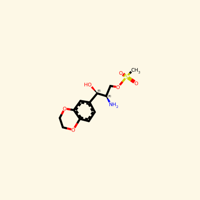 CS(=O)(=O)OC[C@@H](N)[C@H](O)c1ccc2c(c1)OCCO2